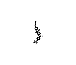 CCCCCc1ccc(S(=O)(=O)N2CCN(C(=O)c3ccc(-c4noc(C)n4)cc3)CC2)cc1